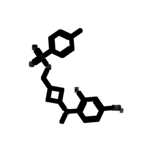 Cc1ccc(S(=O)(=O)OCC2CC(N(C)c3ccc([N+](=O)[O-])cc3F)C2)cc1